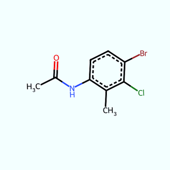 CC(=O)Nc1ccc(Br)c(Cl)c1C